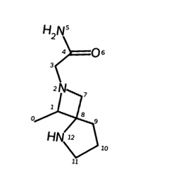 CC1N(CC(N)=O)CC12CCCN2